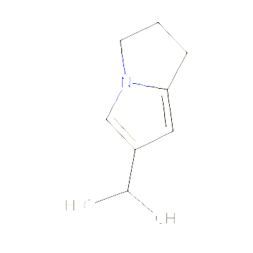 CC(C)c1cc2n(c1)CCC2